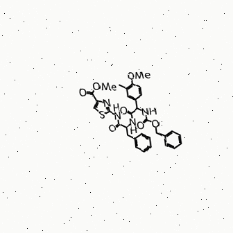 COC(=O)c1csc(NC(=O)C(Cc2ccccc2)NC(=O)C(NC(=O)OCc2ccccc2)c2ccc(OC)c(C)c2)n1